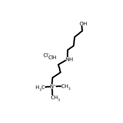 C[N+](C)(C)CCCNCCCCO.Cl.[Cl-]